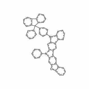 c1ccc(-n2c3cc4oc5ccccc5c4cc3c3cc4c5ccccc5n(-c5ccc(C6(c7ccccc7)c7ccccc7-c7ccccc76)cc5)c4cc32)cc1